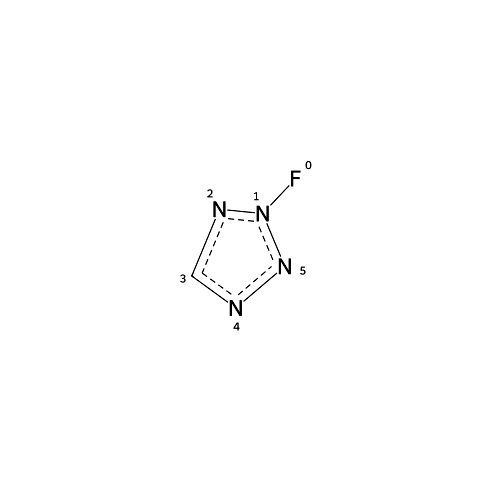 Fn1ncnn1